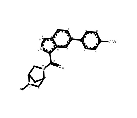 COc1ccc(-c2ccc3[nH]nc(C(=O)N4CC5CC4CN5C)c3c2)cc1